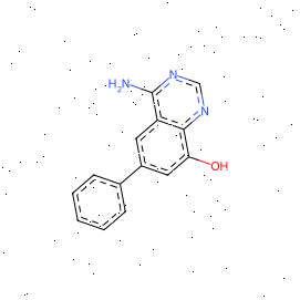 Nc1ncnc2c(O)cc(-c3ccccc3)cc12